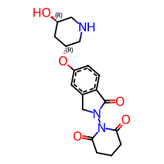 O=C1c2ccc(O[C@H]3CNC[C@H](O)C3)cc2CN1N1C(=O)CCCC1=O